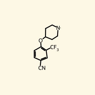 N#Cc1ccc(OC2CC[N]CC2)c(C(F)(F)F)c1